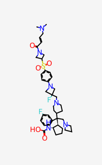 CN(C)C/C=C/C(=O)N1CC(S(=O)(=O)c2ccc(N3CC(F)(CN4CCC(C(CN5CCC5)(c5cccc(F)c5)[C@H]5CCC[C@@H]5NC(=O)O)CC4)C3)cc2)C1